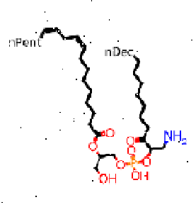 CCCCC/C=C\C/C=C\CCCCCCCC(=O)O[C@H](CO)COP(=O)(O)OC(CN)C(=O)CCCCCCCCCCCCCCCCC